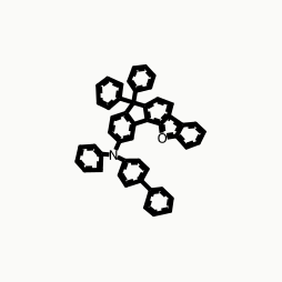 c1ccc(-c2ccc(N(c3ccccc3)c3ccc4c(c3)-c3c(ccc5c3oc3ccccc35)C4(c3ccccc3)c3ccccc3)cc2)cc1